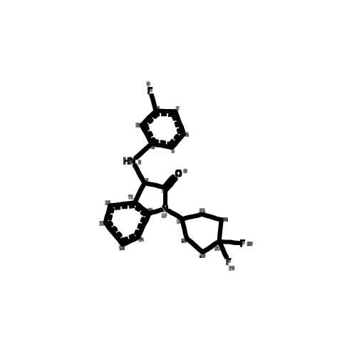 O=C1C(Nc2cccc(F)c2)c2ccccc2N1C1CCC(F)(F)CC1